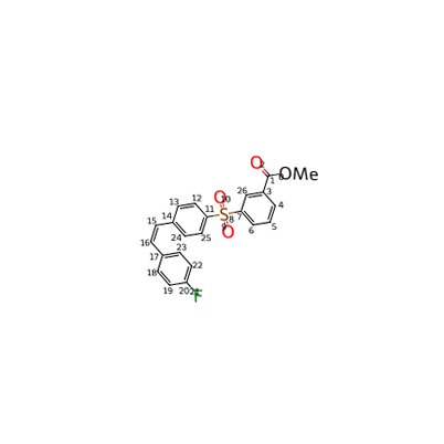 COC(=O)c1cccc(S(=O)(=O)c2ccc(/C=C\c3ccc(F)cc3)cc2)c1